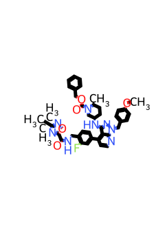 COc1ccc(Cn2nc(N[C@@H]3CC[C@H](C)N(C(=O)OCc4ccccc4)C3)c3c(-c4ccc(CNC(=O)c5nc(C(C)(C)C)no5)c(F)c4)ccnc32)cc1